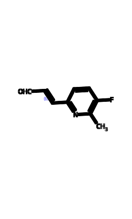 Cc1nc(/C=C/C=O)ccc1F